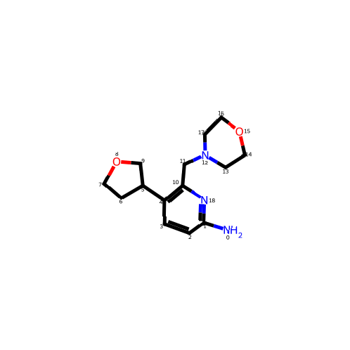 Nc1ccc(C2CCOC2)c(CN2CCOCC2)n1